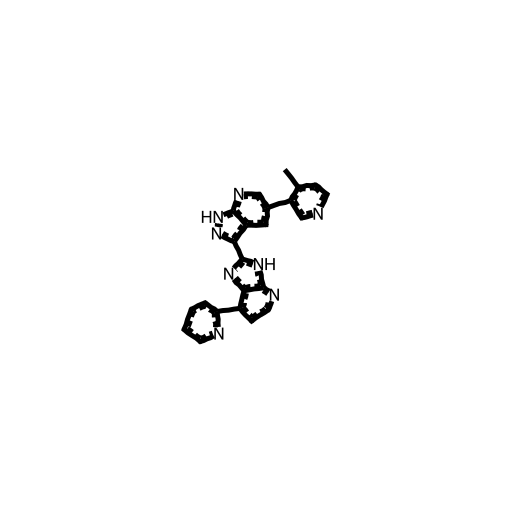 Cc1ccncc1-c1cnc2[nH]nc(-c3nc4c(-c5ccccn5)ccnc4[nH]3)c2c1